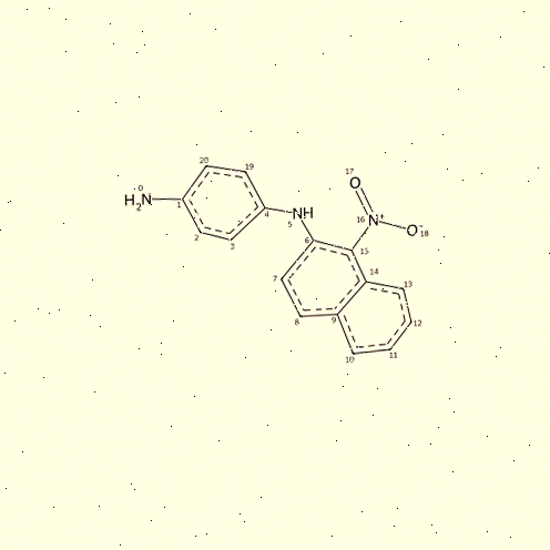 Nc1ccc(Nc2ccc3ccccc3c2[N+](=O)[O-])cc1